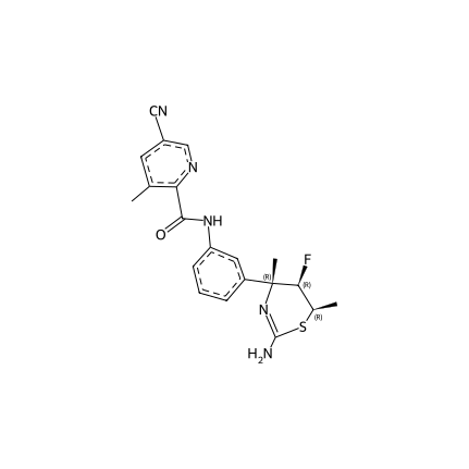 Cc1cc(C#N)cnc1C(=O)Nc1cccc([C@@]2(C)N=C(N)S[C@H](C)[C@@H]2F)c1